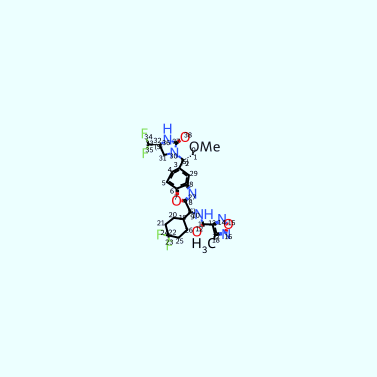 COC[C@H](c1ccc2oc([C@@H](NC(=O)c3nonc3C)C3CCC(F)(F)CC3)nc2c1)N1C[C@@H](C(F)F)NC1=O